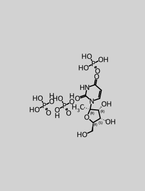 C[C@@]1(n2ccc(=O)[nH]c2=O)O[C@H](CO)[C@@H](O)[C@H]1O.O=P(O)(O)O.O=P(O)(O)O.O=P(O)(O)O